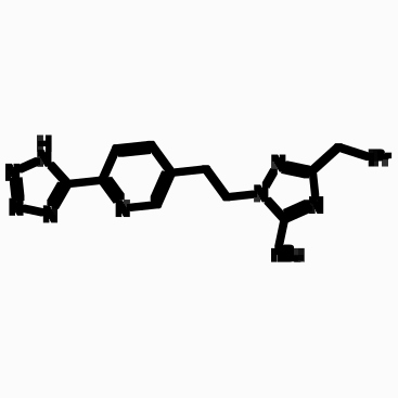 CCCCc1nc(CC(C)C)nn1CCc1ccc(-c2nnn[nH]2)nc1